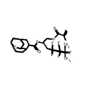 C=C(C)C(=O)OCC(CC(F)(F)C(F)(F)C(F)(C(F)(F)F)C(F)(F)F)OC(=O)C1CC2CC3CCC1C(C3)C2